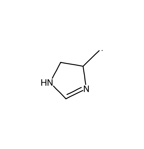 [CH2]C1CNC=N1